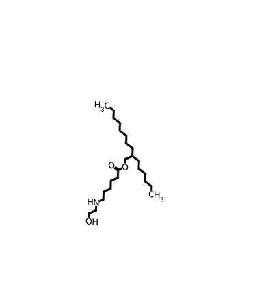 CCCCCCCCC(CCCCCC)COC(=O)CCCCCNCCO